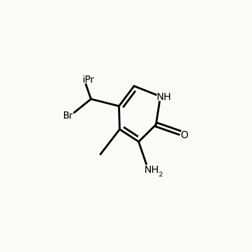 Cc1c(C(Br)C(C)C)c[nH]c(=O)c1N